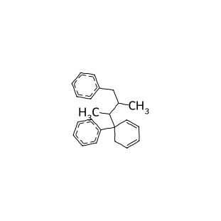 CC(Cc1ccccc1)C(C)C1(c2ccccc2)C=CC=CC1